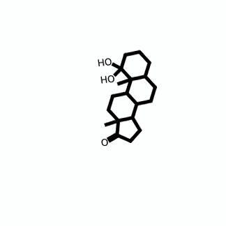 CC12CCC3C(CCC4CCCC(O)(O)C43C)C1CCC2=O